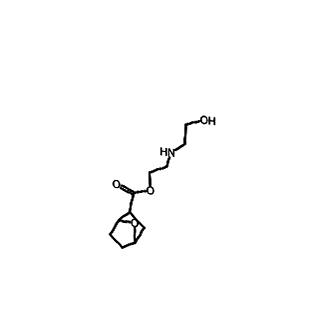 O=C(OCCNCCO)C1CC2CCC1O2